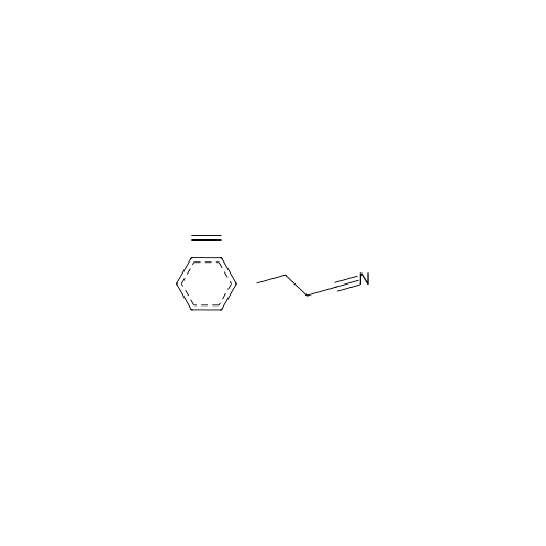 C=C.CCCC#N.c1ccccc1